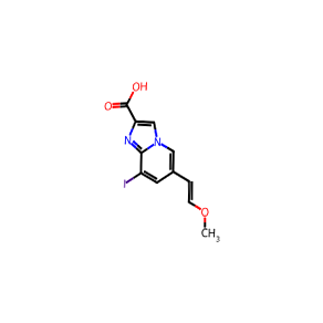 COC=Cc1cc(I)c2nc(C(=O)O)cn2c1